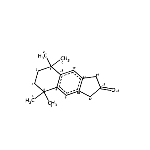 CC1(C)CCC(C)(C)c2cc3c(cc21)CC(=O)C3